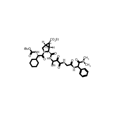 CCCC(NC(=O)[C@@H]1[C@@H]2[C@H](CN1C(=O)[C@@H](NC(=O)OCC(C)C)C1CCCCC1)[C@H]2C(=O)OCC)C(=O)C(=O)NCC(=O)NC(C(=O)N(C)C)c1ccccc1